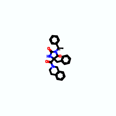 C[C@H](c1ccccc1)N1C(=O)NC(Cc2ccccc2)(C(=O)N2CCc3ccccc3C2)C1=O